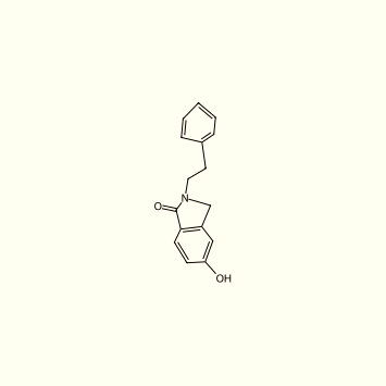 O=C1c2ccc(O)cc2CN1CCc1ccccc1